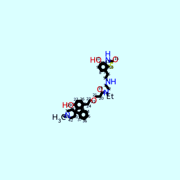 CCN(CCNCCc1ccc(O)c2[nH]c(=O)sc12)C(=O)CCOCCc1ccc(O)c(C2(c3ccccc3)CCN(C)CC2)c1